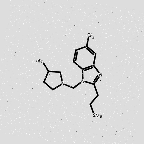 CCCC1CCN(Cn2c(CCSC)nc3cc(C(F)(F)F)ccc32)C1